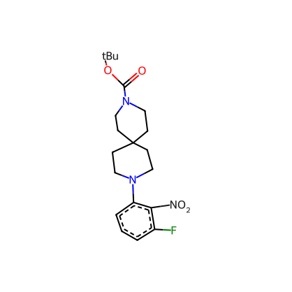 CC(C)(C)OC(=O)N1CCC2(CC1)CCN(c1cccc(F)c1[N+](=O)[O-])CC2